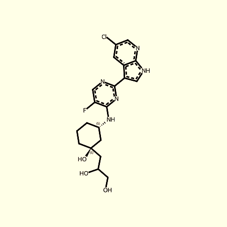 OCC(O)C[C@]1(O)CCC[C@H](Nc2nc(-c3c[nH]c4ncc(Cl)cc34)ncc2F)C1